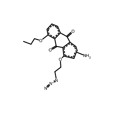 CCCOc1cccc2c1C(=O)c1c(OCCN=[N+]=[N-])cc(N)cc1C2=O